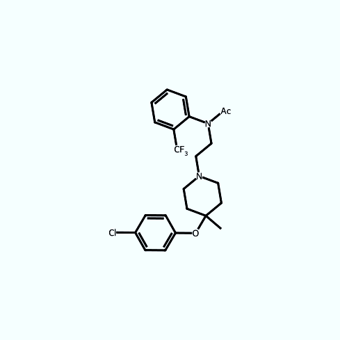 CC(=O)N(CCN1CCC(C)(Oc2ccc(Cl)cc2)CC1)c1ccccc1C(F)(F)F